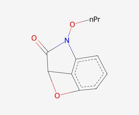 CCCON1C(=O)C2Oc3cccc1c32